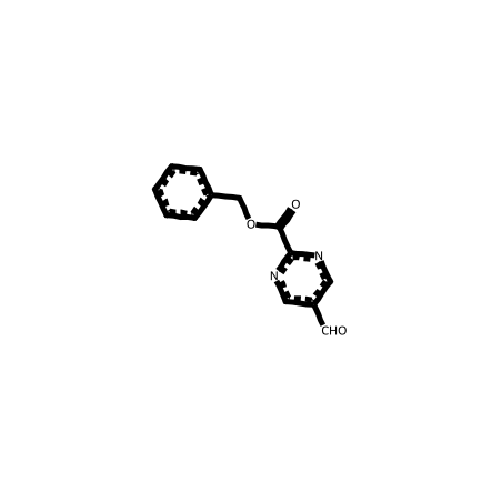 O=Cc1cnc(C(=O)OCc2ccccc2)nc1